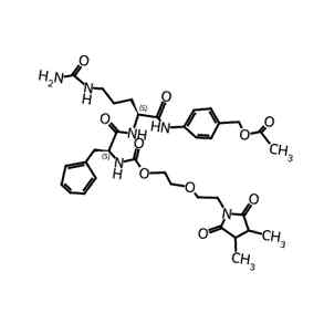 CC(=O)OCc1ccc(NC(=O)[C@H](CCCNC(N)=O)NC(=O)[C@H](Cc2ccccc2)NC(=O)OCCOCCN2C(=O)C(C)C(C)C2=O)cc1